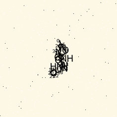 Cc1cc2n(c1)OC[C@H](NC(=O)c1nnc(Cc3ccccc3)[nH]1)C(=O)N2C